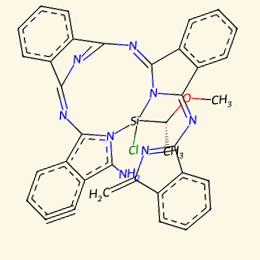 C=C1N=C(/N=C2/c3ccccc3/C3=N/C4=NC(=N\c5c6ccc#cc6c(N)n5[Si](Cl)([C@@H](C)OC)N23)/c2ccccc24)c2ccccc21